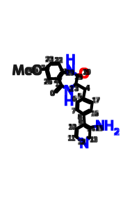 C=C1NC(Cc2ccc(-c3ccncc3N)cc2)C(=O)Nc2ccc(OC)cc21